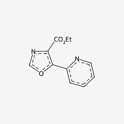 CCOC(=O)c1ncoc1-c1ccccn1